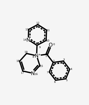 O=C(c1ccccc1)[N+]1(c2ccccn2)[C]=NC=CC1